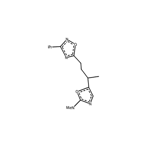 CNc1ncc(C(C)CCc2nc(C(C)C)no2)o1